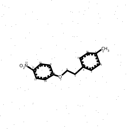 Cc1ccc(CCOc2ccc([N+](=O)[O-])cc2)cc1